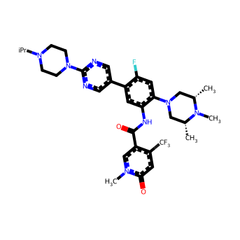 CC(C)N1CCN(c2ncc(-c3cc(NC(=O)c4cn(C)c(=O)cc4C(F)(F)F)c(N4C[C@@H](C)N(C)[C@@H](C)C4)cc3F)cn2)CC1